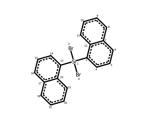 Br[Si](Br)(c1cccc2ccccc12)c1cccc2ccccc12